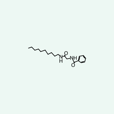 CCCCCCCCCCNC(=O)CNC(=O)c1ccccc1